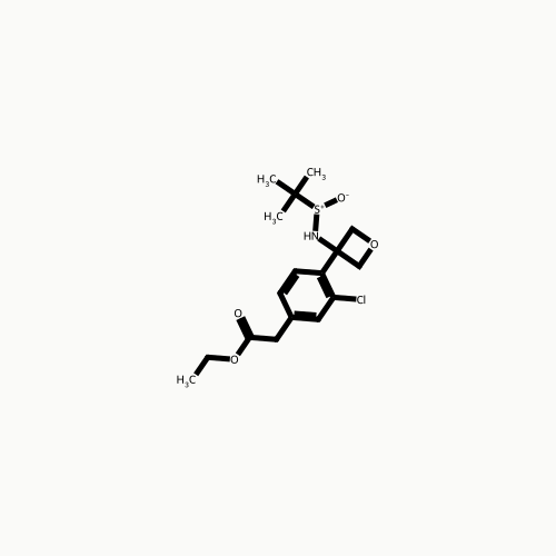 CCOC(=O)Cc1ccc(C2(N[S+]([O-])C(C)(C)C)COC2)c(Cl)c1